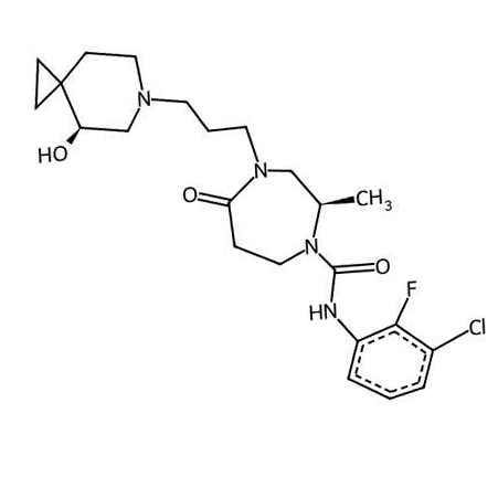 C[C@@H]1CN(CCCN2CCC3(CC3)[C@H](O)C2)C(=O)CCN1C(=O)Nc1cccc(Cl)c1F